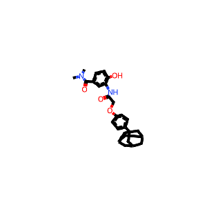 CN(C)C(=O)c1ccc(O)c(NC(=O)COc2ccc(C34CC5CC(CC(C5)C3)C4)cc2)c1